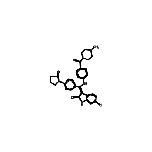 CN1CCN(C(=O)c2ccc(NC(=C3C(=O)Nc4cc(Cl)ccc43)c3ccc(N4CCCC4=O)cc3)cc2)CC1